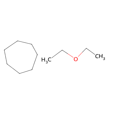 C1CCCCCC1.CCOCC